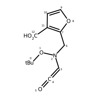 CC(C)(C)ON(C=C=O)Cc1occc1C(=O)O